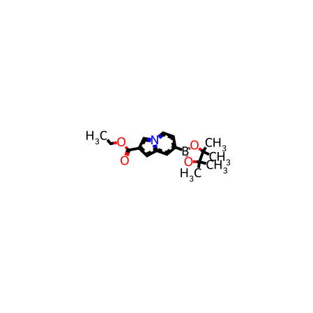 CCOC(=O)c1cc2cc(B3OC(C)(C)C(C)(C)O3)ccn2c1